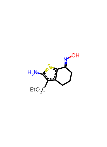 CCOC(=O)c1c(N)sc2c1CCC/C2=N\O